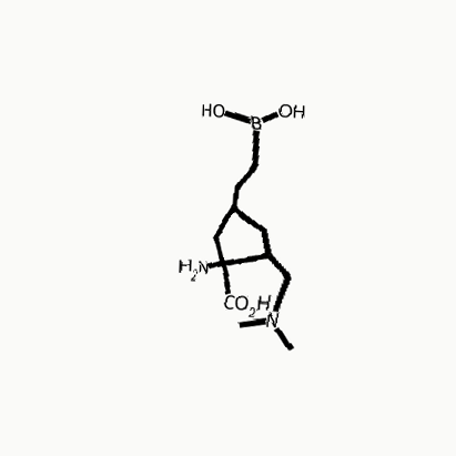 CN(C)CC1CC(CCB(O)O)CC1(N)C(=O)O